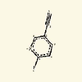 C#Cc1ccc(F)nc1